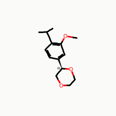 COc1cc([C@@H]2COCCO2)ccc1C(C)C